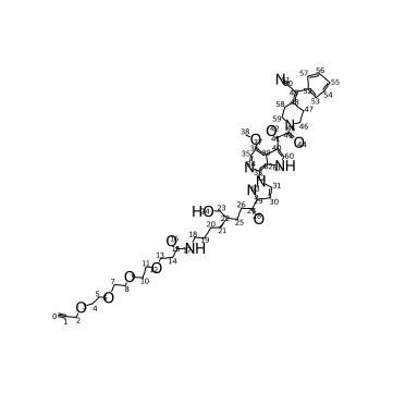 C#CCOCCOCCOCCOCCC(=O)NCCCC[C@@H](CO)CCC(=O)c1ccn(-c2ncc(OC)c3c(C(=O)C(=O)N4CCC(=C(C#N)c5ccccc5)CC4)c[nH]c23)n1